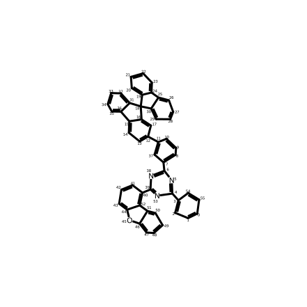 c1ccc(-c2nc(-c3cccc(-c4ccc5c(c4)C4(c6ccccc6-c6ccccc64)c4ccccc4-5)c3)nc(-c3cccc4oc5ccccc5c34)n2)cc1